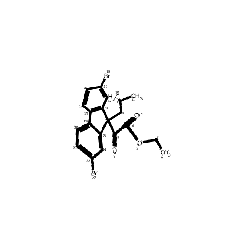 CCOC(=O)C(=O)C1(CC(C)C)c2cc(Br)ccc2-c2ccc(Br)cc21